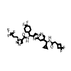 O=C(CC1CC(F)(F)C1)N[C@H](c1cnn2cc([C@@H](NC(=O)c3cnnn3CCC(F)(F)F)C3CCC(F)(F)CC3)nc2c1)C1CC1